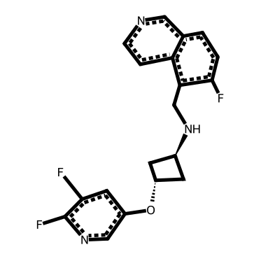 Fc1cc(O[C@H]2C[C@H](NCc3c(F)ccc4cnccc34)C2)cnc1F